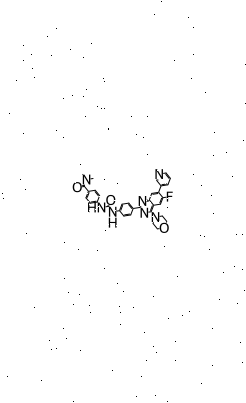 CN(C)C(=O)c1ccc(NC(=O)Nc2ccc(-c3nc(N4CCOCC4)c4cc(F)c(-c5cccnc5)cc4n3)cc2)cc1